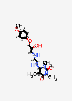 COc1ccc(OCC(O)CNCCNc2c(C)c(=O)n(C)c(=O)n2C)cc1